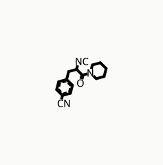 [C-]#[N+]C(Cc1ccc(C#N)cc1)C(=O)N1CCCCC1